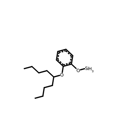 CCCCC(CCCC)Oc1ccccc1O[SiH3]